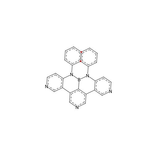 c1ccc(N2B3c4c(cncc4-c4cnccc4N3c3ccccc3)-c3cnccc32)cc1